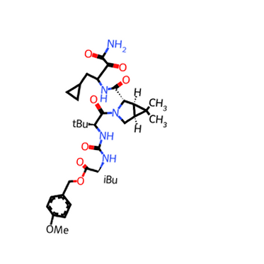 CC[C@H](C)[C@H](NC(=O)N[C@H](C(=O)N1C[C@H]2[C@@H]([C@H]1C(=O)NC(CC1CC1)C(=O)C(N)=O)C2(C)C)C(C)(C)C)C(=O)OCc1ccc(OC)cc1